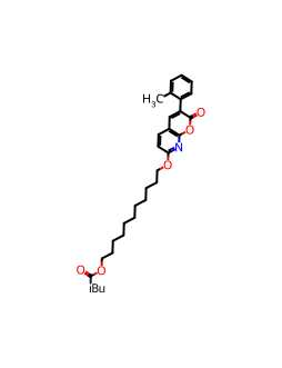 CCC(C)C(=O)OCCCCCCCCCCCOc1ccc2cc(-c3ccccc3C)c(=O)oc2n1